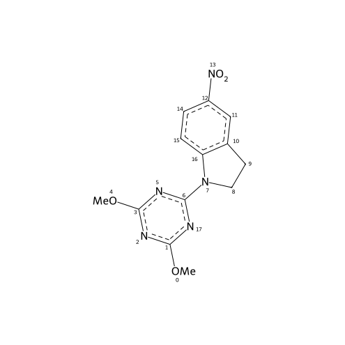 COc1nc(OC)nc(N2CCc3cc([N+](=O)[O-])ccc32)n1